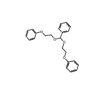 c1ccc(OCCOC(OCCOc2ccccc2)c2ccccc2)cc1